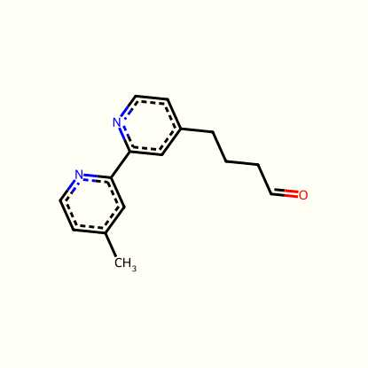 Cc1ccnc(-c2cc(CCCC=O)ccn2)c1